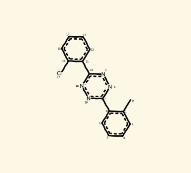 Cc1ccccc1-c1nnc(-c2ccccc2Cl)nn1